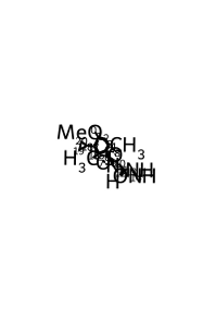 COc1cc(C)c(S(=O)(=O)NCC(=O)N[NH])c(C)c1C1CC1